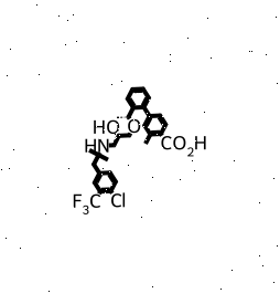 Cc1cc(-c2ccccc2[C@@H](C)OC[C@H](O)CNC(C)(C)Cc2ccc(Cl)c(C(F)(F)F)c2)ccc1C(=O)O